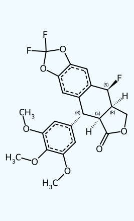 COc1cc([C@@H]2c3cc4c(cc3[C@@H](F)[C@H]3COC(=O)[C@@H]23)OC(F)(F)O4)cc(OC)c1OC